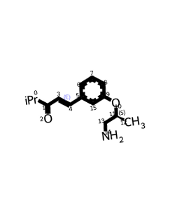 CC(C)C(=O)/C=C/c1cccc(O[C@@H](C)CN)c1